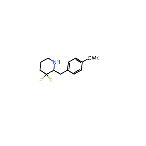 COc1ccc(CC2NCCCC2(F)F)cc1